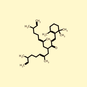 C=CC(C)CCC=C(C)CC(CC(C)=CCCC(C)C=C)C(=O)C=CC1=C(C)CCCC1(C)C